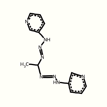 CC(N=NNc1cccnc1)N=NNc1cccnc1